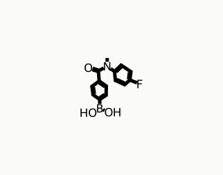 CN(C(=O)c1ccc(B(O)O)cc1)c1ccc(F)cc1